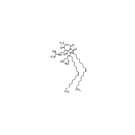 CCCCCCCC/C=C\CCCCCCCC(=O)N1C(=O)C=C(C)C(=O)C(CCNC(=N)N)[C@@]1(C(=O)CCCCCCC/C=C\CCCCCCCC)C(=O)OC(CO)CO